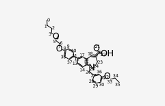 CCCCOCCOc1ccc(-c2ccc3c(c2)C=C(C(=O)O)CCN3Cc2cccc(OCCC)c2)cc1